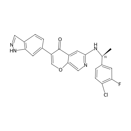 C[C@H](Nc1cc2c(=O)c(-c3ccc4cn[nH]c4c3)coc2cn1)c1ccc(Cl)c(F)c1